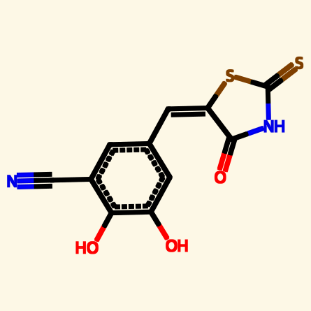 N#Cc1cc(C=C2SC(=S)NC2=O)cc(O)c1O